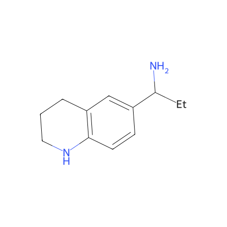 CCC(N)c1ccc2c(c1)CCCN2